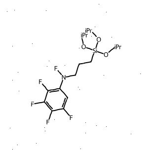 CC(C)O[Si](CCCN(F)c1cc(F)c(F)c(F)c1F)(OC(C)C)OC(C)C